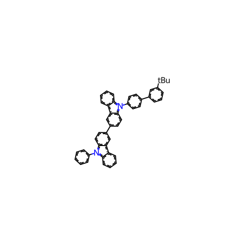 CC(C)(C)c1cccc(-c2ccc(-n3c4ccccc4c4cc(-c5ccc6c(c5)c5ccccc5n6-c5ccccc5)ccc43)cc2)c1